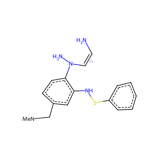 CNCc1ccc(N(N)/C=C\N)c(NSc2ccccc2)c1